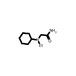 CCN(CC(N)=O)C1CCCCC1